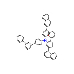 c1ccc(-c2cccc(-c3ccc(N(c4ccc(-c5ccc6ccccc6c5)cc4)c4cc(-c5cccc6ccccc56)ccc4-c4ccccc4)cc3)c2)cc1